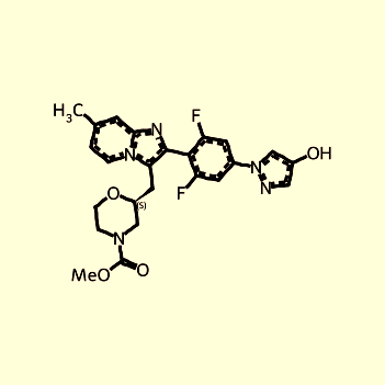 COC(=O)N1CCO[C@@H](Cc2c(-c3c(F)cc(-n4cc(O)cn4)cc3F)nc3cc(C)ccn23)C1